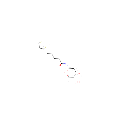 O=C(CCCC[C@@H]1CCSS1)N[C@@H]1O[C@H](O)[C@@H](O)[C@H](O)[C@H]1O